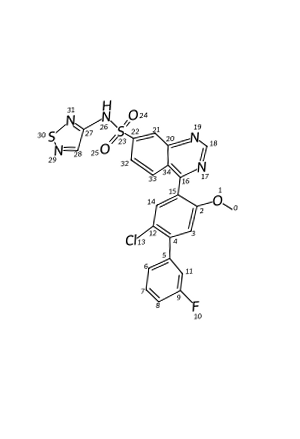 COc1cc(-c2cccc(F)c2)c(Cl)cc1-c1ncnc2cc(S(=O)(=O)Nc3cnsn3)ccc12